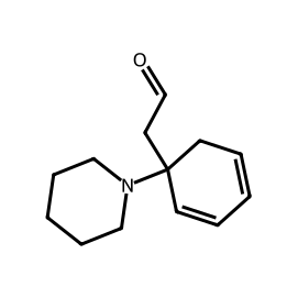 O=CCC1(N2CCCCC2)C=CC=CC1